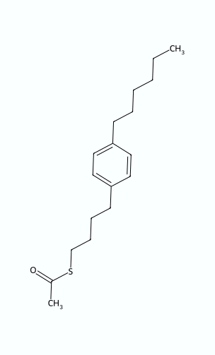 CCCCCCc1ccc(CCCCSC(C)=O)cc1